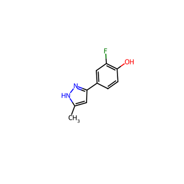 Cc1cc(-c2ccc(O)c(F)c2)n[nH]1